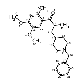 COc1cc(C)c(C(=O)C(C)CC2CCN(Cc3ccccc3)CC2)cc1OC